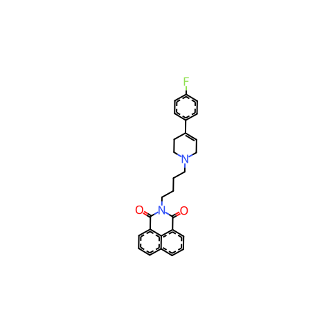 O=C1c2cccc3cccc(c23)C(=O)N1CCCCN1CC=C(c2ccc(F)cc2)CC1